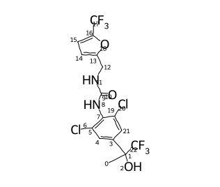 CC(O)(c1cc(Cl)c(NC(=O)NCc2ccc(C(F)(F)F)o2)c(Cl)c1)C(F)(F)F